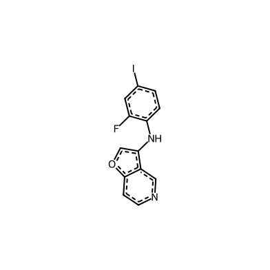 Fc1cc(I)ccc1Nc1coc2ccncc12